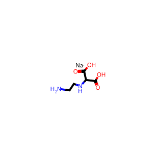 NCCNC(C(=O)O)C(=O)O.[Na]